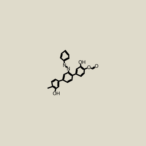 Cc1ccc(-c2ccc(-c3ccc(OC=O)c(O)c3)c(/N=N/c3ccccc3)c2)cc1O